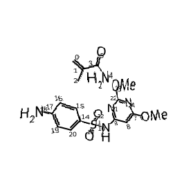 C=C(C)C(N)=O.COc1cc(NS(=O)(=O)c2ccc(N)cc2)nc(OC)n1